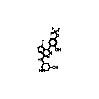 Oc1cc(OC(F)(F)F)ccc1-c1nnc(NC2CNCC(O)C2)n2ccc(F)c12